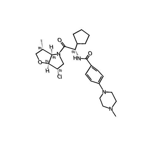 C[C@H]1CO[C@H]2[C@@H]1N(C(=O)[C@@H](NC(=O)c1ccc(N3CCN(C)CC3)cc1)C1CCCC1)C[C@@H]2Cl